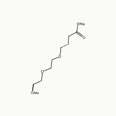 COCCOCCOCCCC(=O)OC